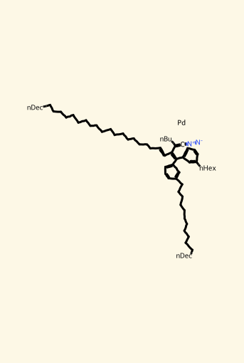 CCCCCCCCCCCCCCCCCCCCCCCCCCCCC=CC(C(=C=[N+]=[N-])CCCC)=C(c1cccc(CCCCCC)c1)c1cccc(CCCCCCCCCCCCCCCCCCCCC)c1.[Pd]